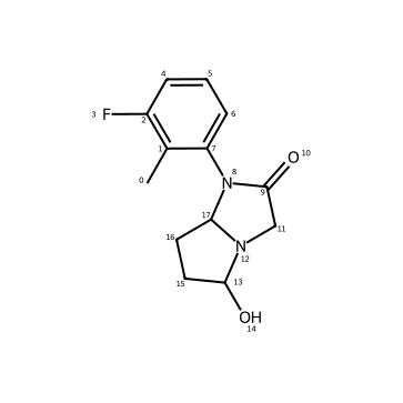 Cc1c(F)cccc1N1C(=O)CN2C(O)CCC12